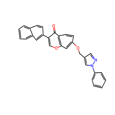 O=c1c(-c2ccc3ccccc3c2)coc2cc(OCc3cnn(-c4ccccc4)c3)ccc12